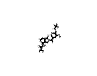 COc1cc(C(C)N2Cc3c(ccnc3NC(=O)C(C)C)C2=O)cnc1OCC(F)(F)F